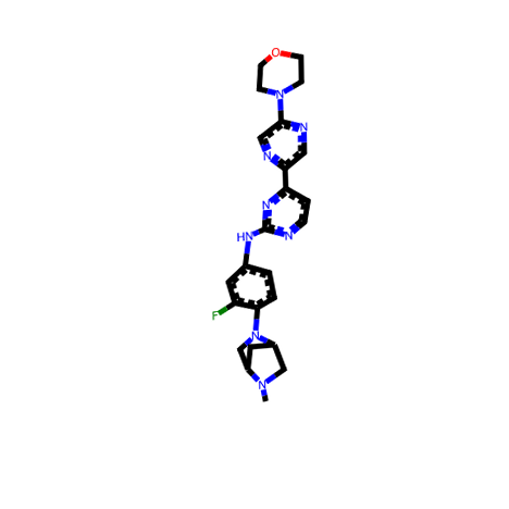 CN1CC2CC1CN2c1ccc(Nc2nccc(-c3cnc(N4CCOCC4)cn3)n2)cc1F